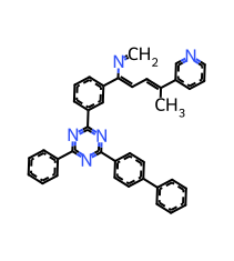 C=N/C(=C\C=C(/C)c1cccnc1)c1cccc(-c2nc(-c3ccccc3)nc(-c3ccc(-c4ccccc4)cc3)n2)c1